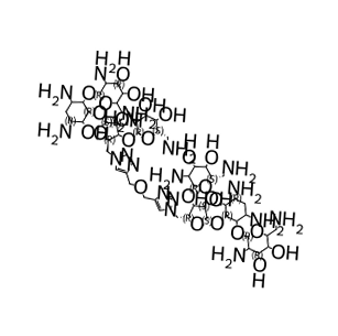 NCC1O[C@H](OC2C(N)C[C@@H](N)C(O)[C@H]2O[C@@H]2O[C@H](Cn3cc(COCc4cn(C[C@H]5O[C@@H](O[C@H]6C(O[C@H]7OC(CN)C(O)[C@H](O)C7N)C(N)C[C@@H](N)C6O)[C@@H](O)C5O[C@H]5O[C@@H](CN)C(O)C(O)C5N)nn4)nn3)C(O[C@H]3O[C@@H](CN)C(O)C(O)C3N)[C@@H]2O)C(N)[C@@H](O)C1O